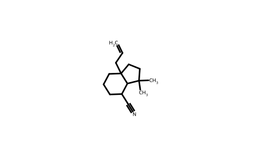 C=CCC12CCCC(C#N)C1C(C)(C)CC2